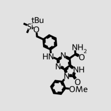 COc1ccccc1-n1c(=O)[nH]c2c(C(N)=O)nc(Nc3cccc(CO[Si](C)(C)C(C)(C)C)c3)nc21